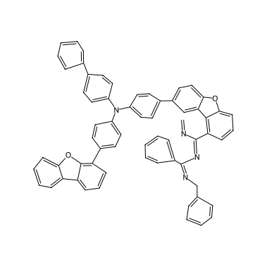 C=N/C(=N\C(=N/Cc1ccccc1)c1ccccc1)c1cccc2oc3ccc(-c4ccc(N(c5ccc(-c6ccccc6)cc5)c5ccc(-c6cccc7c6oc6ccccc67)cc5)cc4)cc3c12